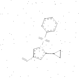 O=Cc1cc(C2CC2)n(S(=O)(=O)c2ccccc2)c1